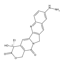 CC[C@@]1(O)C(=O)OCc2c1cc1n(c2=O)Cc2cc3cc(NN)ccc3nc2-1